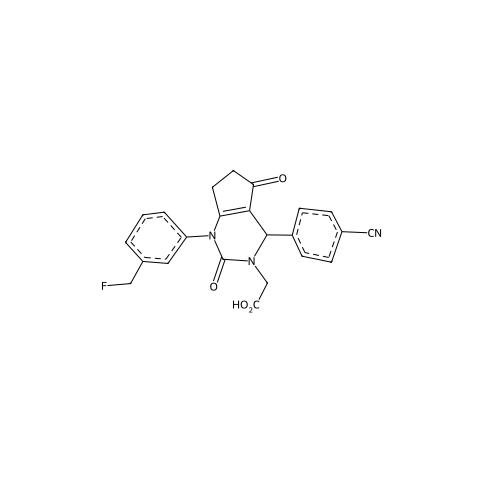 N#Cc1ccc(C2C3=C(CCC3=O)N(c3cccc(CF)c3)C(=O)N2CC(=O)O)cc1